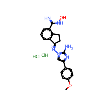 COc1ccc(-c2cn(/N=C3\CCc4c(C(=N)NO)cccc43)c(N)n2)cc1.Cl.Cl